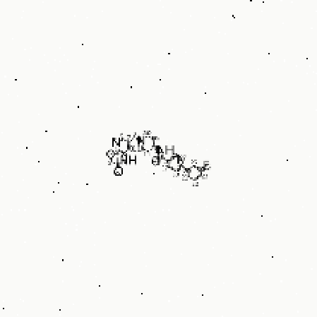 O=C1COc2ncc(CN3CCC(NC(=O)c4ccc(-c5cccc(F)c5)nc4)CC3)cc2N1